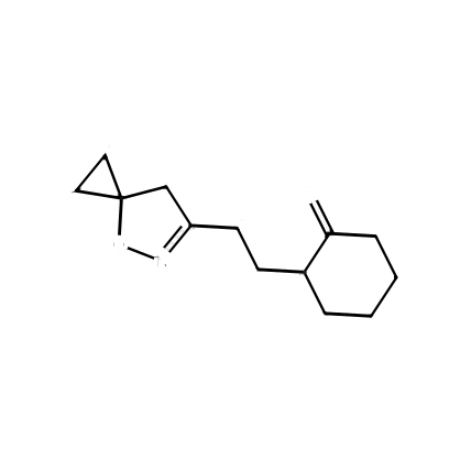 O=C1CCCCC1CCC1=NOC2(CC2)C1